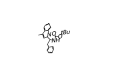 Cc1cc(C(Cc2ccccc2)NC(=O)OC(C)(C)C)nc2ccccc12